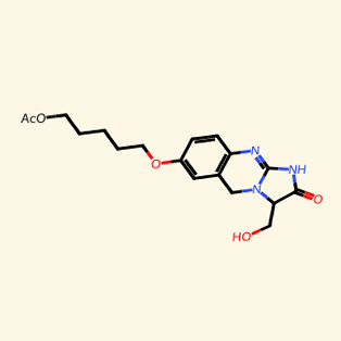 CC(=O)OCCCCCOc1ccc2c(c1)CN1C(=N2)NC(=O)C1CO